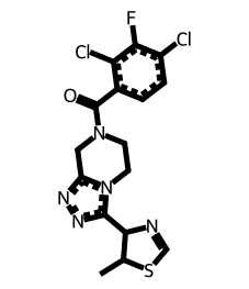 CC1SC=NC1c1nnc2n1CCN(C(=O)c1ccc(Cl)c(F)c1Cl)C2